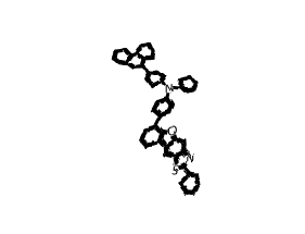 c1ccc(-c2nc3cc4oc5c(-c6ccc(N(c7ccccc7)c7ccc(-c8cc9ccccc9c9ccccc89)cc7)cc6)cccc5c4cc3s2)cc1